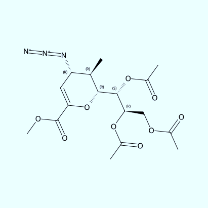 COC(=O)C1=C[C@H](N=[N+]=[N-])[C@@H](C)[C@H]([C@H](OC(C)=O)[C@@H](COC(C)=O)OC(C)=O)O1